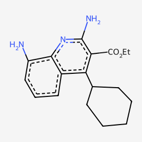 CCOC(=O)c1c(N)nc2c(N)cccc2c1C1CCCCC1